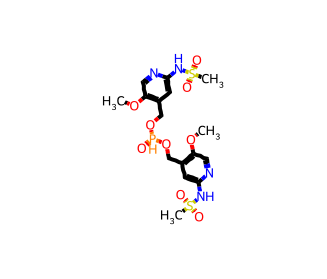 COc1cnc(NS(C)(=O)=O)cc1CO[PH](=O)OCc1cc(NS(C)(=O)=O)ncc1OC